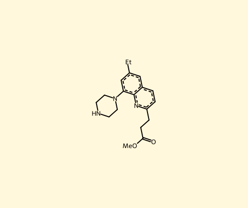 CCc1cc(N2CCNCC2)c2nc(CCC(=O)OC)ccc2c1